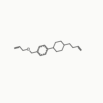 C=CCCC1CCC(c2ccc(COCC=C)cc2)CC1